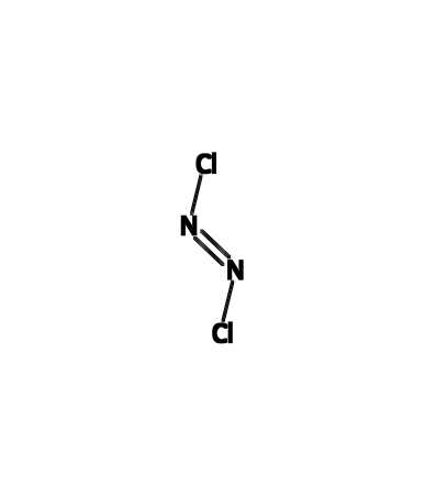 ClN=NCl